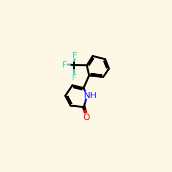 O=c1cccc(-c2ccccc2C(F)(F)F)[nH]1